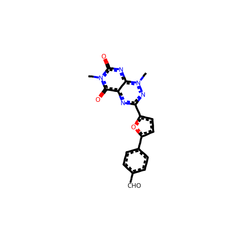 Cn1nc(-c2ccc(-c3ccc(C=O)cc3)o2)nc2c(=O)n(C)c(=O)nc1-2